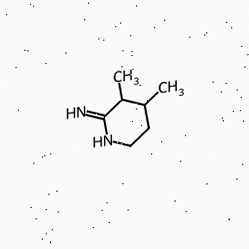 CC1CCNC(=N)C1C